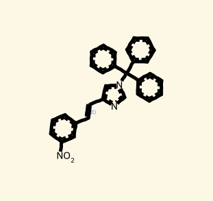 O=[N+]([O-])c1cccc(/C=C/c2cn(C(c3ccccc3)(c3ccccc3)c3ccccc3)cn2)c1